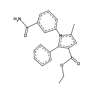 CCOC(=O)c1cc(C)n(-c2cccc(C(N)=O)c2)c1-c1ccccc1